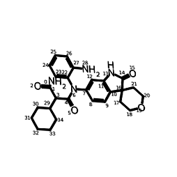 NC(=O)C(C(=O)N(c1ccc2c(c1)NC(=O)C21CCOCC1)c1ccccc1N)C1CCCCC1